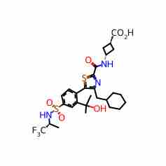 C[C@H](NS(=O)(=O)c1ccc(-c2sc(C(=O)N[C@H]3C[C@H](C(=O)O)C3)nc2CC2CCCCC2)c(C(C)(C)O)c1)C(F)(F)F